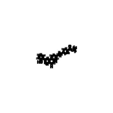 CC(C)(C)OC(=O)N1CCC(N2CC(N3CCN4c5cc(-c6ccccc6O)nnc5NC[C@H]4C3)C2)CC1